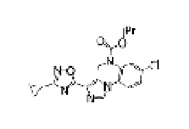 CC(C)OC(=O)N1Cc2c(-c3nc(C4CC4)no3)ncn2-c2ccc(Cl)cc21